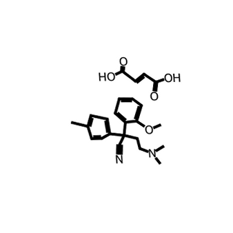 COc1ccccc1C(C#N)(CCN(C)C)c1ccc(C)cc1.O=C(O)C=CC(=O)O